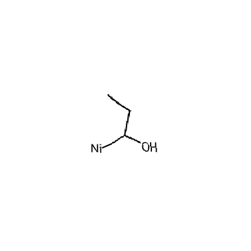 CC[CH](O)[Ni]